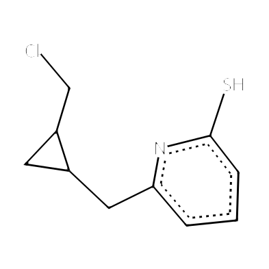 Sc1cccc(CC2CC2CCl)n1